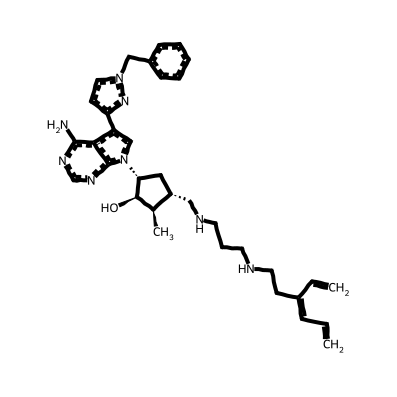 C=C/C=C(\C=C)CCNCCCNC[C@H]1C[C@@H](n2cc(-c3ccn(Cc4ccccc4)n3)c3c(N)ncnc32)[C@H](O)[C@@H]1C